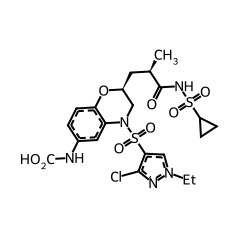 CCn1cc(S(=O)(=O)N2C[C@H](C[C@@H](C)C(=O)NS(=O)(=O)C3CC3)Oc3ccc(NC(=O)O)cc32)c(Cl)n1